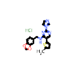 Cc1ccc(-c2cnc(-n3ccnc3)nc2NCc2ccc3c(c2)OCO3)s1.Cl